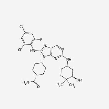 CC1(C)CCC(Nc2ncc3nc(Nc4c(F)cc(Cl)cc4Cl)n([C@H]4CC[C@@H](C(N)=O)CC4)c3n2)C[C@H]1O